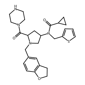 O=C(C1CC(N(Cc2cccs2)C(=O)C2CC2)CN1Cc1ccc2c(c1)CCO2)N1CCNCC1